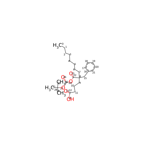 CCCCCCCCC(CCCC(=O)O)(Cc1ccccc1)C(=O)OC(=O)OC(C)(C)C